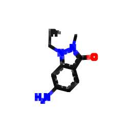 C[C](C)Cn1c2cc(N)ccc2c(=O)n1C